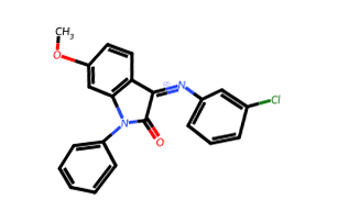 COc1ccc2c(c1)N(c1ccccc1)C(=O)/C2=N\c1cccc(Cl)c1